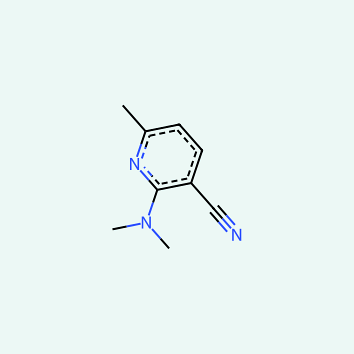 Cc1ccc(C#N)c(N(C)C)n1